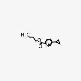 CCCCOC(=O)c1ccc(C2CC2)cn1